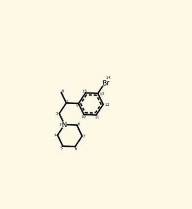 CC(CN1CCCCC1)c1cccc(Br)c1